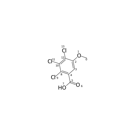 COc1cc(C(=O)O)c(Cl)c(Cl)c1Cl